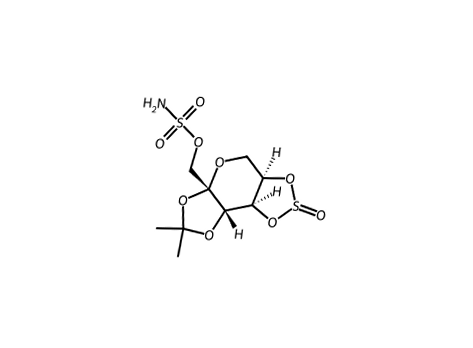 CC1(C)O[C@H]2[C@@H]3OS(=O)O[C@@H]3CO[C@@]2(COS(N)(=O)=O)O1